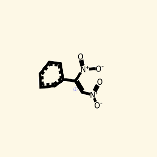 O=[N+]([O-])/C=C(/c1ccccc1)[N+](=O)[O-]